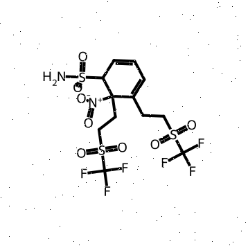 NS(=O)(=O)C1C=CC=C(CCS(=O)(=O)C(F)(F)F)C1(CCS(=O)(=O)C(F)(F)F)[N+](=O)[O-]